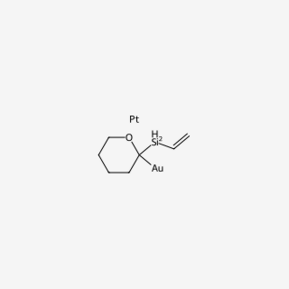 C=C[SiH2][C]1([Au])CCCCO1.[Pt]